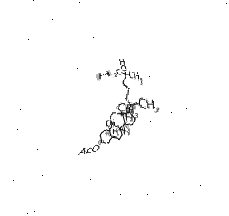 CC(=O)O[C@@H]1CC[C@@]2(C)C(=CC[C@H]3[C@@H]4CC[C@H]([C@H](C)CCCC(C)(C)O)[C@@]4(C)CC[C@@H]32)C1